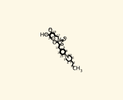 CCCC1CCN(c2ccc(/C=C3\SC(=S)N(Cc4cc(=O)c(O)co4)C3=O)cc2)CC1